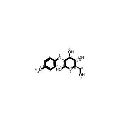 Nc1ccc(O[C@H]2C(O)O[C@H](CO)[C@@H](O)[C@@H]2O)cc1